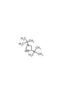 CC(C)(C)[C@@H]1CN(C(C)(C)C)CN1